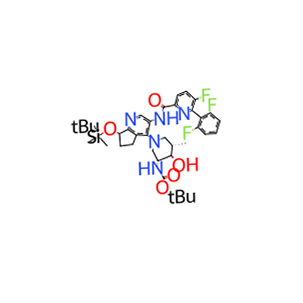 C[C@H]1CN(c2c(NC(=O)c3ccc(F)c(-c4c(F)cccc4F)n3)cnc3c2CCC3O[Si](C)(C)C(C)(C)C)C[C@@H](NC(=O)OC(C)(C)C)[C@@H]1O